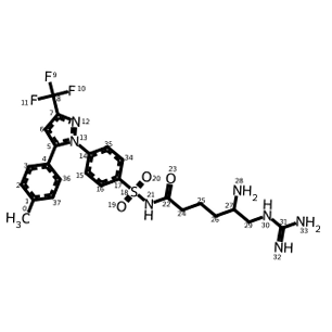 Cc1ccc(-c2cc(C(F)(F)F)nn2-c2ccc(S(=O)(=O)NC(=O)CCCC(N)CNC(=N)N)cc2)cc1